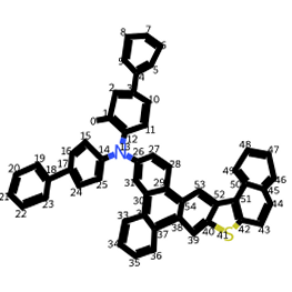 Cc1cc(-c2ccccc2)ccc1N(c1ccc(-c2ccccc2)cc1)c1ccc2c(c1)c1ccccc1c1cc3sc4ccc5ccccc5c4c3cc21